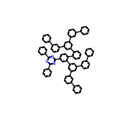 c1ccc(-c2cccc(-c3cc(-c4cccc(-c5ccccc5)c4)cc(-c4ccccc4-c4ccc(-c5nc(-c6ccccc6)nc(-c6ccccc6)n5)cc4-c4cc(-c5cccc(-c6ccccc6)c5)cc(-c5cccc(-c6ccccc6)c5)c4)c3)c2)cc1